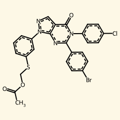 CC(=O)OCSc1cccc(-n2ncc3c(=O)n(-c4ccc(Cl)cc4)c(-c4ccc(Br)cc4)nc32)c1